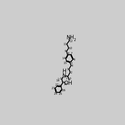 CC(CCCc1ccc(CCCCN)cc1)N[C@@H](C)[C@H](O)c1ccccc1